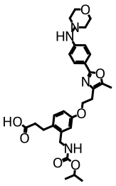 Cc1oc(-c2ccc(NN3CCOCC3)cc2)nc1CCOc1ccc(CCC(=O)O)c(CNC(=O)OC(C)C)c1